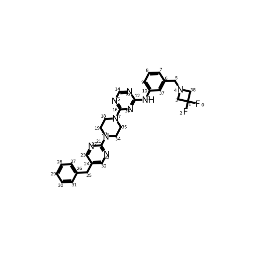 FC1(F)CN(Cc2cccc(Nc3ncnc(N4CCN(c5ncc(Cc6ccccc6)cn5)CC4)n3)c2)C1